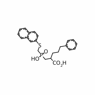 O=C(O)C(CCCc1ccccc1)CP(=O)(O)CSc1ccc2ccccc2c1